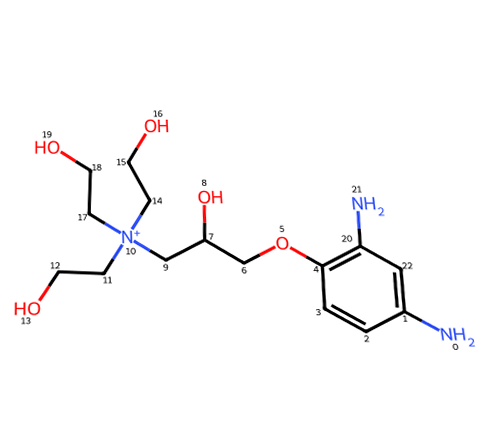 Nc1ccc(OCC(O)C[N+](CCO)(CCO)CCO)c(N)c1